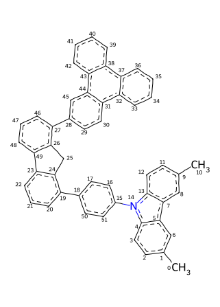 Cc1ccc2c(c1)c1cc(C)ccc1n2-c1ccc(-c2cccc3c2Cc2c(-c4ccc5c6ccccc6c6ccccc6c5c4)cccc2-3)cc1